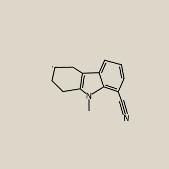 Cn1c2c(c3cccc(C#N)c31)C[C]CC2